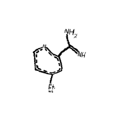 C[CH]c1ccnc(C(=N)N)c1